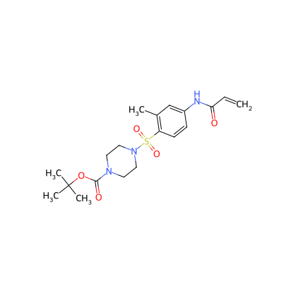 C=CC(=O)Nc1ccc(S(=O)(=O)N2CCN(C(=O)OC(C)(C)C)CC2)c(C)c1